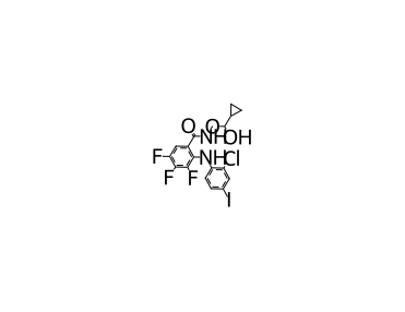 O=C(NOC(O)C1CC1)c1cc(F)c(F)c(F)c1Nc1ccc(I)cc1Cl